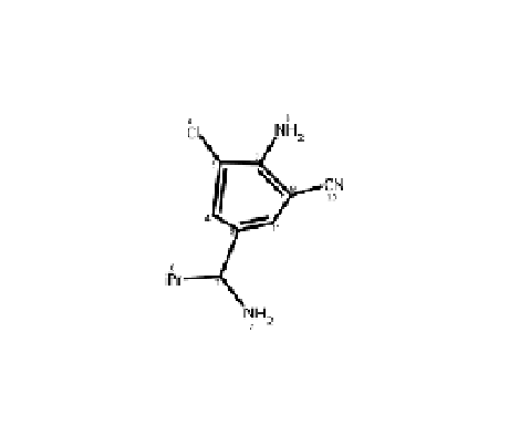 CC(C)C(N)c1cc(Cl)c(N)c(C#N)c1